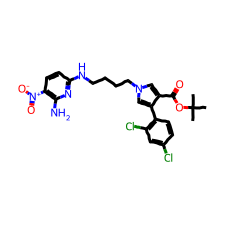 CC(C)(C)OC(=O)c1cn(CCCCNc2ccc([N+](=O)[O-])c(N)n2)cc1-c1ccc(Cl)cc1Cl